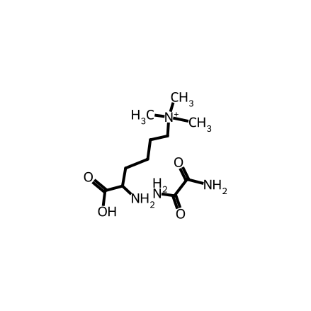 C[N+](C)(C)CCCCC(N)C(=O)O.NC(=O)C(N)=O